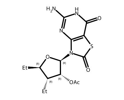 CC[C@H]1[C@@H](OC(C)=O)[C@H](n2c(=O)sc3c(=O)[nH]c(N)nc32)O[C@@H]1CC